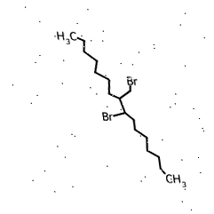 CCCCCCCC(Br)C(CBr)CCCCCCC